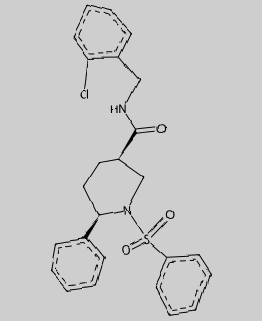 O=C(NCc1ccccc1Cl)[C@@H]1CC[C@H](c2ccccc2)N(S(=O)(=O)c2ccccc2)C1